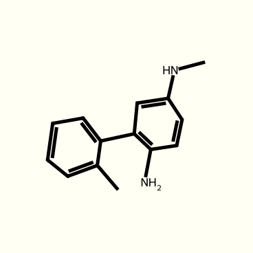 CNc1ccc(N)c(-c2ccccc2C)c1